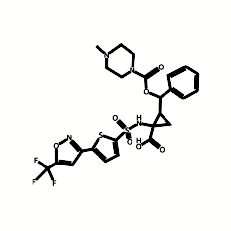 CN1CCN(C(=O)OC(c2ccccc2)C2CC2(NS(=O)(=O)c2ccc(-c3cc(C(F)(F)F)on3)s2)C(=O)O)CC1